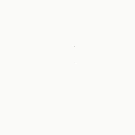 O=C(O)c1nc(N=S(=O)=O)sc1CC1CCCCC1